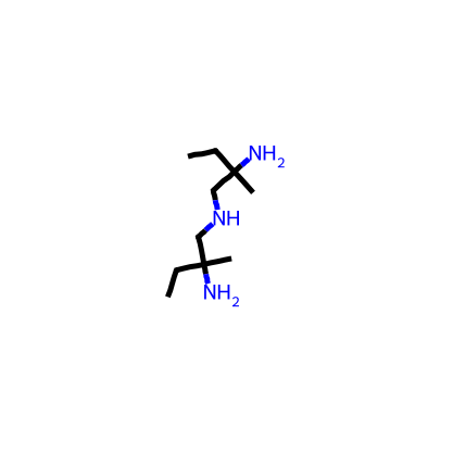 CCC(C)(N)CNCC(C)(N)CC